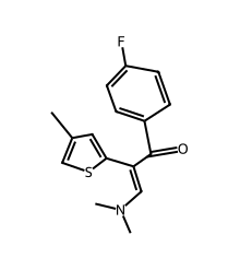 Cc1csc(C(=CN(C)C)C(=O)c2ccc(F)cc2)c1